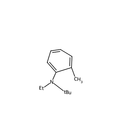 CCN(c1ccccc1C)C(C)(C)C